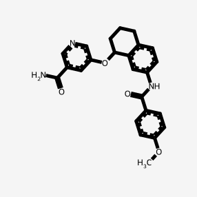 COc1ccc(C(=O)Nc2ccc3c(c2)C(Oc2cncc(C(N)=O)c2)CCC3)cc1